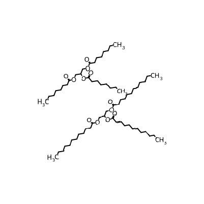 CCCCCCCC(=O)OCC(COC(=O)CCCCCCC)OC(=O)CCCCCCC.CCCCCCCCCCCC(=O)OCC(COC(=O)CCCCCCCCCCC)OC(=O)CCCCCCCCCCC